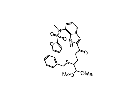 COC(OC)C(CCC(=O)c1cc2cccc(N(C)S(=O)(=O)c3ccco3)c2[nH]1)SCc1ccccc1